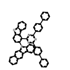 c1ccc(-c2ccc(-c3nc(-c4ccc(-c5ccccc5)cc4)nc(-c4c(-n5c6ccccc6c6cc7ccccc7cc65)ccc5oc6ccccc6c45)n3)cc2)cc1